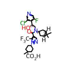 CC1(C)[C@@H]2C[C@H](N(C[C@@H](O)c3c(F)cncc3Cl)C(=O)c3cnn([C@H]4CC[C@](C)(C(=O)O)CC4)c3C(F)(F)F)C[C@@H]21